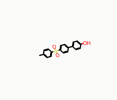 Cc1ccc(S(=O)(=O)c2ccc(-c3ccc(O)cc3)cc2)cc1